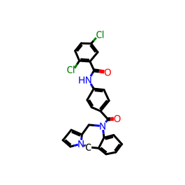 O=C(Nc1ccc(C(=O)N2Cc3cccn3Cc3ccccc32)cc1)c1cc(Cl)ccc1Cl